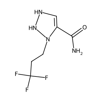 NC(=O)C1=CNNN1CCC(F)(F)F